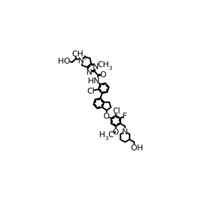 COc1cc(OC2CCc3c(-c4cccc(NC(=O)c5nc6c(n5C)CCN(C(C)CO)C6)c4Cl)cccc32)c(Cl)c(F)c1CN1CCCC(CO)C1